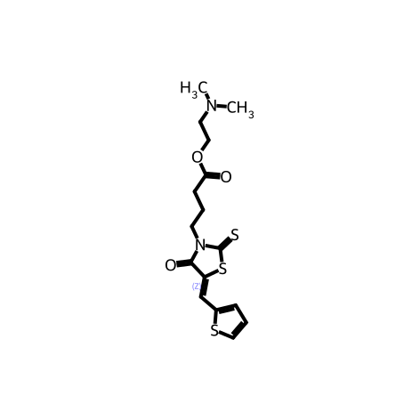 CN(C)CCOC(=O)CCCN1C(=O)/C(=C/c2cccs2)SC1=S